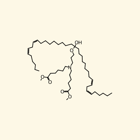 CCCCC/C=C\C/C=C\CCCCCCCCC(O)(CCCCCCCC/C=C\C/C=C\CCCCC)OCCCN(CCCCCC(=O)OC)CCCCCC(=O)OC